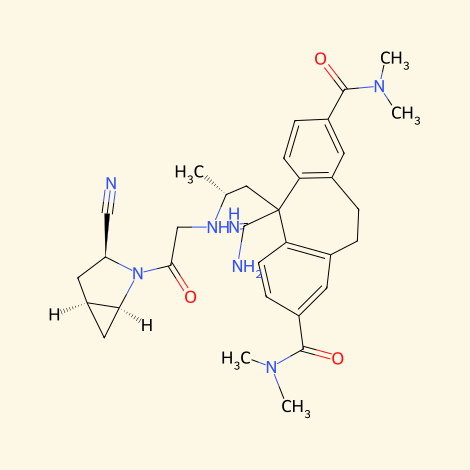 C[C@H](CC1(C(=N)N)c2ccc(C(=O)N(C)C)cc2CCc2cc(C(=O)N(C)C)ccc21)NCC(=O)N1[C@H](C#N)C[C@@H]2C[C@@H]21